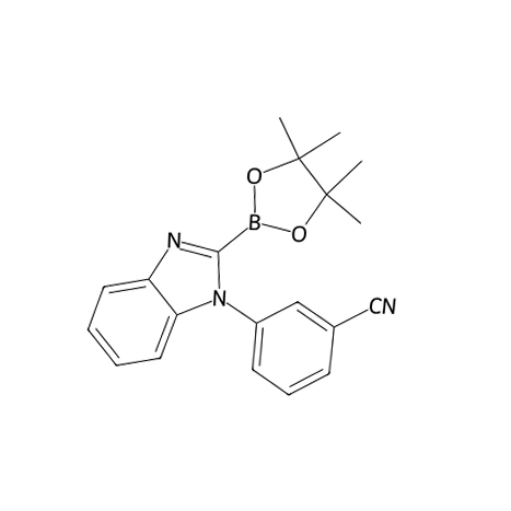 CC1(C)OB(c2nc3ccccc3n2-c2cccc(C#N)c2)OC1(C)C